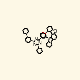 c1ccc(-c2cccc(-c3nc(-c4ccccc4)nc(-c4ccc(-c5cccc6oc7ccc8c9ccccc9n(-c9ccccc9)c8c7c56)cc4)n3)c2)cc1